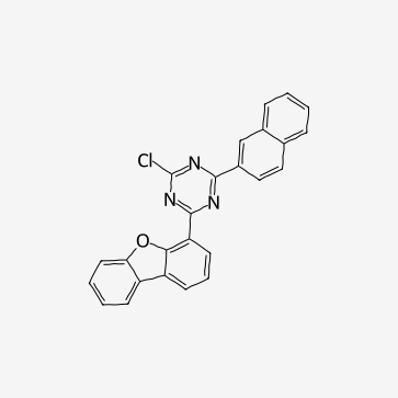 Clc1nc(-c2ccc3ccccc3c2)nc(-c2cccc3c2oc2ccccc23)n1